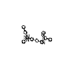 c1ccc(-c2ccc(-c3nc(-c4ccccc4)nc(-c4ccc(-c5ccc(-c6ccnc(-c7cc(-c8ccccc8)cc(-c8ccccn8)n7)c6)cc5)cc4)n3)cc2)cc1